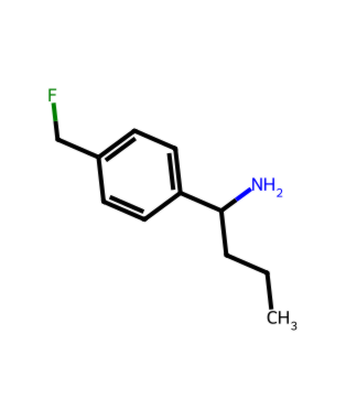 CCCC(N)c1ccc(CF)cc1